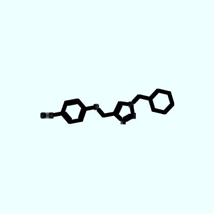 O=Cc1ccc(OCc2cn(CC3CCCCC3)nn2)cc1